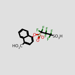 O=C(O)c1ccc(OS(=O)(=O)C(F)(F)C(F)(F)C(F)(F)S(=O)(=O)O)c2ccccc12